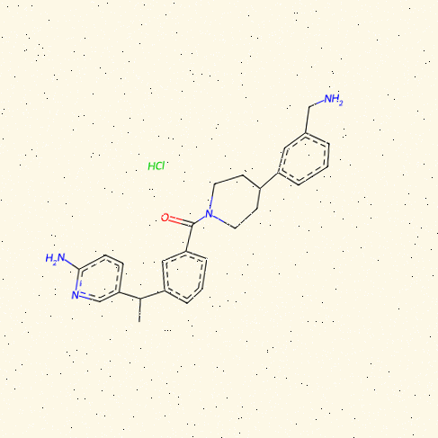 CC(c1ccc(N)nc1)c1cccc(C(=O)N2CCC(c3cccc(CN)c3)CC2)c1.Cl